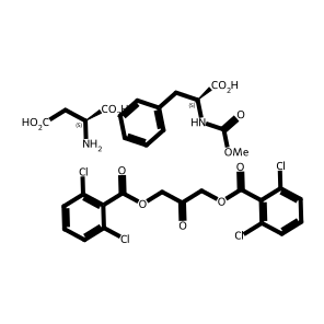 COC(=O)N[C@@H](Cc1ccccc1)C(=O)O.N[C@@H](CC(=O)O)C(=O)O.O=C(COC(=O)c1c(Cl)cccc1Cl)COC(=O)c1c(Cl)cccc1Cl